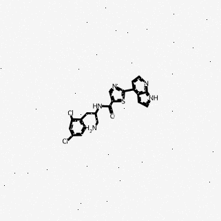 NCC(Cc1ccc(Cl)cc1Cl)NC(=O)c1cnc(-c2ccnc3[nH]ccc23)s1